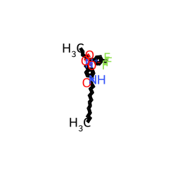 CCCCCCCCCCCCC(=O)Nc1ccc(C[N+]([O-])(Cc2ccc(C(F)(F)F)cc2)OC(=O)CCC)cc1